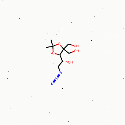 CC1(C)O[C@H]([C@H](O)CN=[N+]=[N-])C(CO)(CO)O1